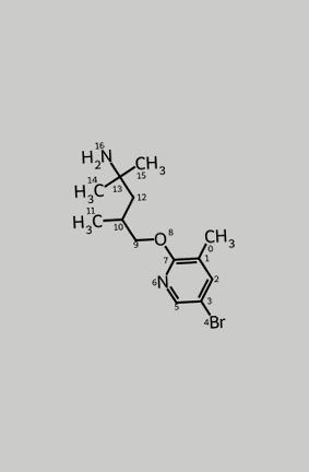 Cc1cc(Br)cnc1OCC(C)CC(C)(C)N